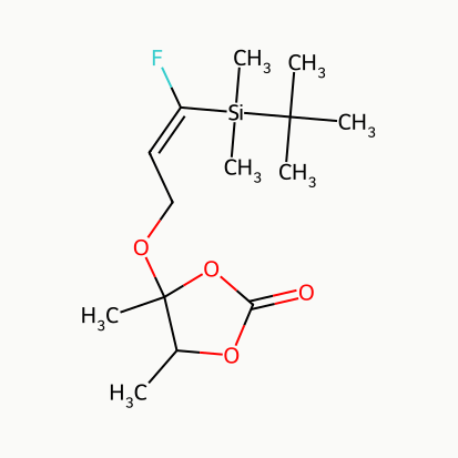 CC1OC(=O)OC1(C)OCC=C(F)[Si](C)(C)C(C)(C)C